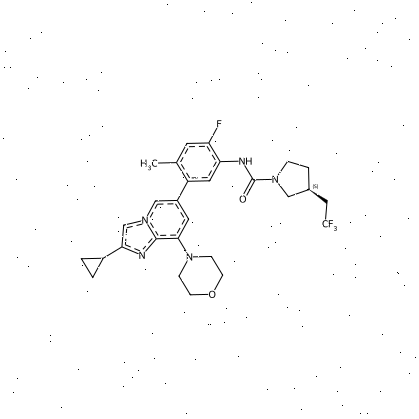 Cc1cc(F)c(NC(=O)N2CC[C@@H](CC(F)(F)F)C2)cc1-c1cc(N2CCOCC2)c2nc(C3CC3)cn2c1